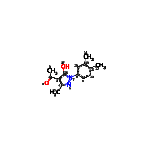 CC(=O)c1c(C)nn(-c2ccc(C)c(C)c2)c1O